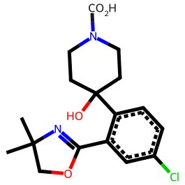 CC1(C)COC(c2cc(Cl)ccc2C2(O)CCN(C(=O)O)CC2)=N1